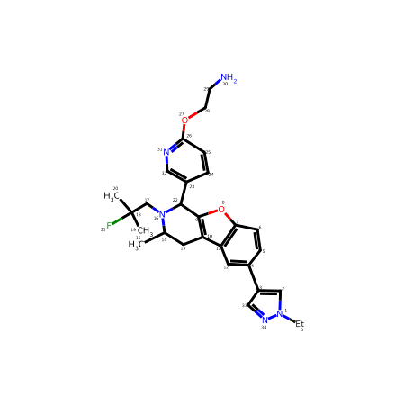 CCn1cc(-c2ccc3oc4c(c3c2)CC(C)N(CC(C)(C)F)C4c2ccc(OCCN)nc2)cn1